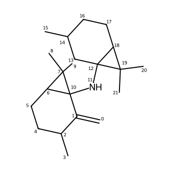 C=C1C(C)CCC2C(C)(C)C12NC12CC(C)CCC1C2(C)C